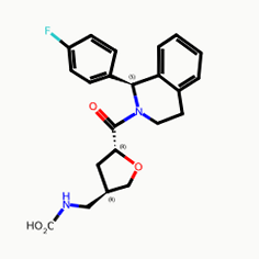 O=C(O)NC[C@@H]1CO[C@@H](C(=O)N2CCc3ccccc3[C@@H]2c2ccc(F)cc2)C1